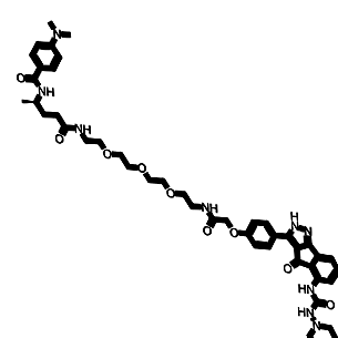 C[C@H](CCC(=O)NCCOCCOCCOCCNC(=O)COc1ccc(-c2[nH]nc3c2C(=O)c2c(NC(=O)NN4CCOCC4)cccc2-3)cc1)NC(=O)c1ccc(N(C)C)cc1